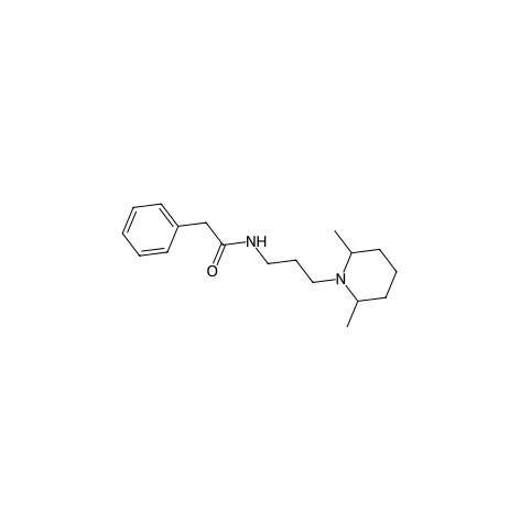 CC1CCCC(C)N1CCCNC(=O)Cc1ccccc1